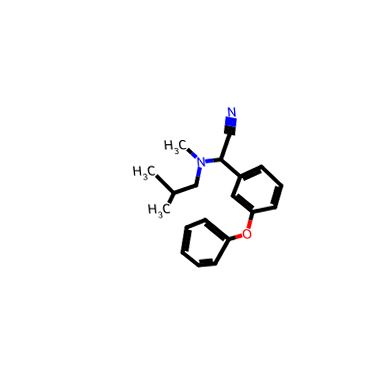 CC(C)CN(C)C(C#N)c1cccc(Oc2ccccc2)c1